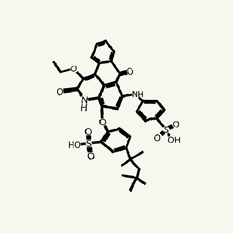 CCOc1c2c3c(c(Nc4ccc(S(=O)(=O)O)cc4)cc(Oc4ccc(C(C)(C)CC(C)(C)C)cc4S(=O)(=O)O)c3[nH]c1=O)C(=O)c1ccccc1-2